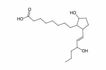 CCCC(O)C=CC1CCC(O)C1CCCCCCCC(=O)O